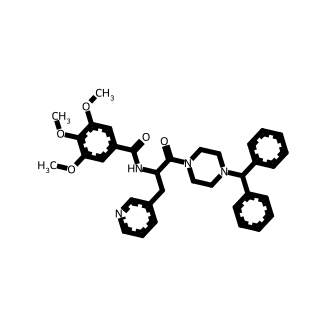 COc1cc(C(=O)NC(Cc2cccnc2)C(=O)N2CCN(C(c3ccccc3)c3ccccc3)CC2)cc(OC)c1OC